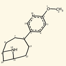 COc1ccc(C2CCC3CC(CC2)N3)cn1